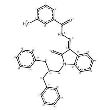 Cc1cccc(C(=O)N/N=C2\C(=O)N(CN(Cc3ccccc3)Cc3ccccc3)c3ccccc32)c1